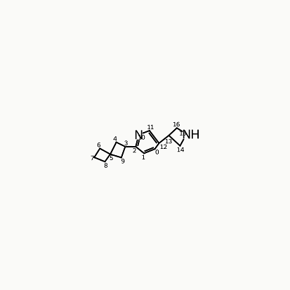 c1cc(C2CC3(CCC3)C2)ncc1C1CNC1